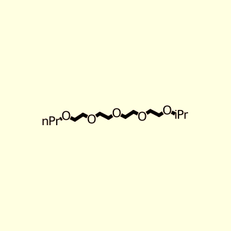 CCCOCCOCCOCCOCCOC(C)C